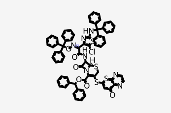 O=C(OC(c1ccccc1)c1ccccc1)C1=C(Sc2cc(=O)c3nccnc3s2)CS[C@@H]2C(NC(=O)/C(=N\OC(c3ccccc3)(c3ccccc3)c3ccccc3)c3nc(NC(c4ccccc4)(c4ccccc4)c4ccccc4)sc3Cl)C(=O)N12